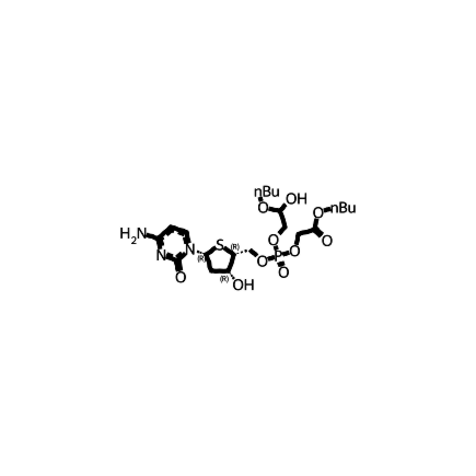 CCCCOC(=O)COP(=O)(OCC(O)OCCCC)OC[C@H]1S[C@@H](n2ccc(N)nc2=O)C[C@H]1O